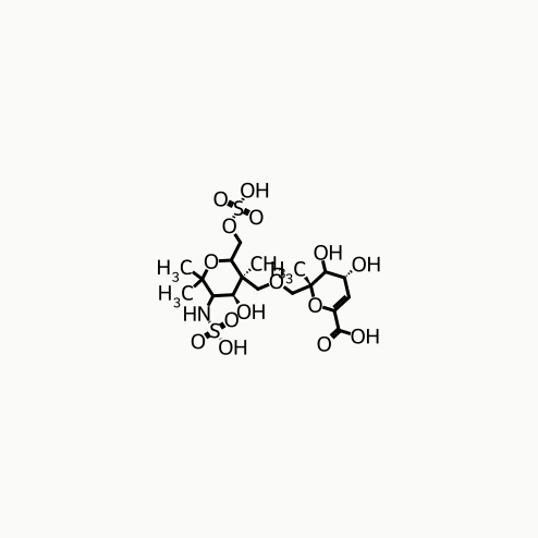 CC1(C)OC(COS(=O)(=O)O)[C@@](C)(COC[C@@]2(C)OC(C(=O)O)=C[C@@H](O)C2O)[C@@H](O)C1NS(=O)(=O)O